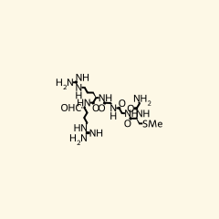 CSC[C@H](NC(=O)CN)C(=O)NCC(=O)NCC(=O)N[C@H](CCCNC(=N)N)C(=O)N[C@@H](C=O)CCCNC(=N)N